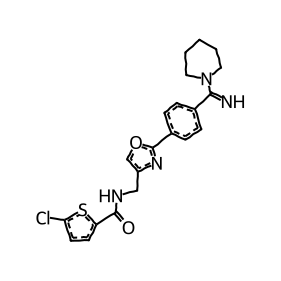 N=C(c1ccc(-c2nc(CNC(=O)c3ccc(Cl)s3)co2)cc1)N1CCCCC1